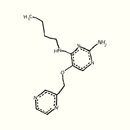 CCCCNc1nc(N)ncc1OCc1cnccn1